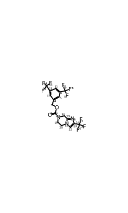 O=C(OCc1cc(C(F)(F)F)cc(C(F)(F)F)c1)N1CCn2cc(C(F)(F)F)nc2C1